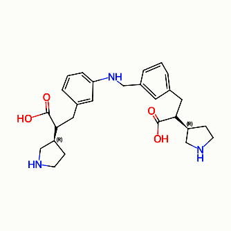 O=C(O)C(Cc1cccc(CNc2cccc(CC(C(=O)O)[C@H]3CCNC3)c2)c1)[C@H]1CCNC1